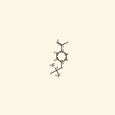 C=C(C)c1ccc(CC(C)(F)F)cc1